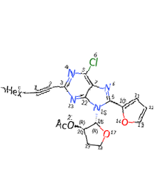 CCCCCCC#Cc1nc(Cl)c2nc(-c3ccco3)n([C@@H]3OCC[C@H]3OC(C)=O)c2n1